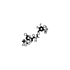 COc1c([N+](=O)[O-])cc(COC[C@@H](C)NC(=O)c2cnc3c(N(C(=O)O)C(C)(C)C)cc(Cl)nn23)c(F)c1F